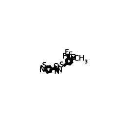 COc1ccc(CSc2nnc(-c3ccc4ncsc4c3)o2)cc1C(F)(F)F